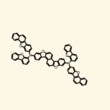 c1ccc2c(c1)ccc1c3ccc(N(c4ccc5c(c4)oc4ccc6c(ccc7oc8cc(N(c9ccc%10c(c9)oc9c%11ccccc%11ccc%109)c9cccc%10c9sc9ccccc9%10)ccc8c76)c45)c4cccc5c4sc4ccccc45)cc3oc21